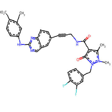 Cc1cc(Nc2ncc3cc(C#CCNC(=O)c4c(C)n(C)n(Cc5ccc(F)c(F)c5)c4=O)ccc3n2)ccc1C(=O)O